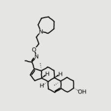 CC(=NOCCN1CCCCCC1)C1=CC[C@H]2[C@@H]3CC=C4C[C@@H](O)CC[C@]4(C)[C@H]3CC[C@]12C